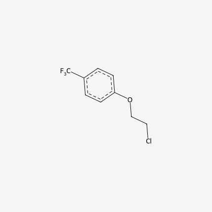 FC(F)(F)c1ccc(OCCCl)cc1